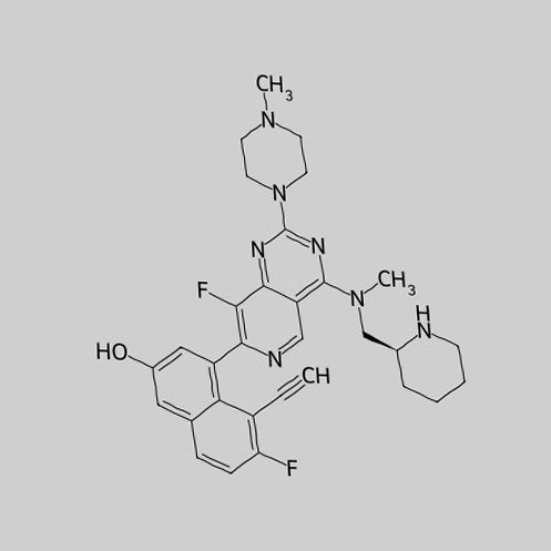 C#Cc1c(F)ccc2cc(O)cc(-c3ncc4c(N(C)C[C@@H]5CCCCN5)nc(N5CCN(C)CC5)nc4c3F)c12